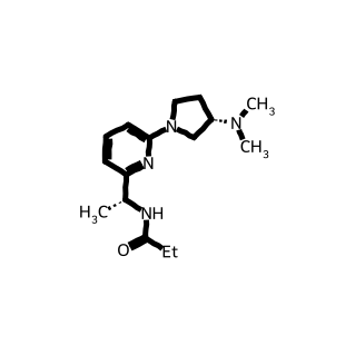 CCC(=O)N[C@H](C)c1cccc(N2CC[C@H](N(C)C)C2)n1